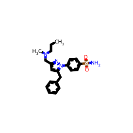 CCCN(C)Cc1cc(Cc2ccccc2)n(-c2ccc(S(N)(=O)=O)cc2)n1